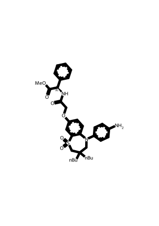 CCCCC1(CCCC)CN(c2ccc(N)cc2)c2ccc(OCC(=O)N[C@@H](C(=O)OC)c3ccccc3)cc2S(=O)(=O)C1